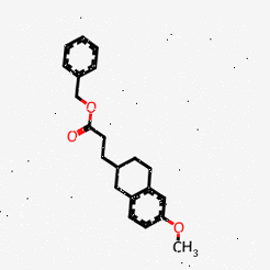 COc1ccc2c(c1)CCC(CCC(=O)OCc1ccccc1)C2